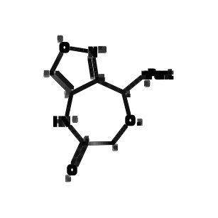 CCCCCC1OCC(=O)Nc2conc21